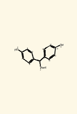 CCCC(C)C(c1ccc(O)cc1)c1ccc(O)cc1